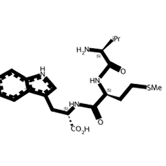 CSCC[C@H](NC(=O)[C@@H](N)C(C)C)C(=O)N[C@@H](Cc1c[nH]c2ccccc12)C(=O)O